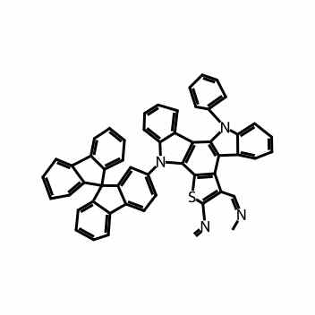 C=Nc1sc2c(c1/C=N\C)c1c3ccccc3n(-c3ccccc3)c1c1c3ccccc3n(-c3ccc4c(c3)C3(c5ccccc5-c5ccccc53)c3ccccc3-4)c21